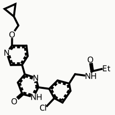 CCC(=O)NCc1ccc(Cl)c(-c2nc(-c3ccc(OCC4CC4)nc3)cc(=O)[nH]2)c1